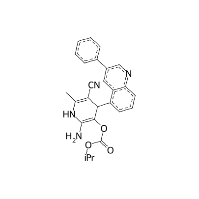 CC1=C(C#N)C(c2cccc3ncc(-c4ccccc4)cc23)C(OC(=O)OC(C)C)=C(N)N1